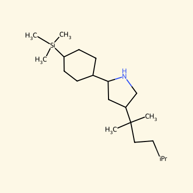 CC(C)CCC(C)(C)C1CNC(C2CCC([Si](C)(C)C)CC2)C1